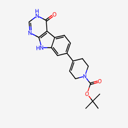 CC(C)(C)OC(=O)N1CC=C(c2ccc3c(c2)[nH]c2nc[nH]c(=O)c23)CC1